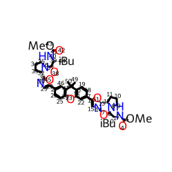 CC[C@H](C)[C@H](NC(=O)OC)C(=O)N1CCC[C@H]1c1ncc(-c2ccc3c(c2)Oc2ccc(-c4cnc([C@@H]5CCCN5C(=O)[C@@H](NC(=O)OC)[C@@H](C)CC)o4)cc2C3(C)C)o1